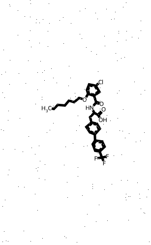 CCCCCCCOc1ccc(Cl)cc1C(=O)NC(Cc1ccc(-c2ccc(C(F)(F)F)cc2)cc1)C(=O)O